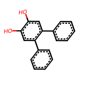 Oc1cc(-c2ccccc2)c(-c2ccccc2)cc1O